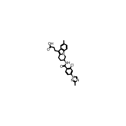 Cc1ccc2c(c1)c(CCC(=O)O)c1n2CC(NC(=O)c2ccc(-n3cnc(C)n3)cc2Cl)CC1